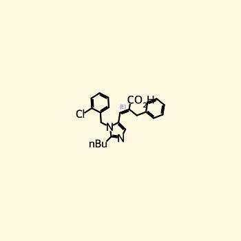 CCCCc1ncc(/C=C(\Cc2ccccc2)C(=O)O)n1Cc1ccccc1Cl